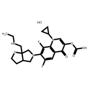 CCNCC12CN(c3c(F)cc4c(=O)c(OC(=O)O)cn(C5CC5)c4c3F)CC1CCO2.Cl